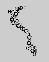 N#Cc1c(NS(=O)(=O)N2CC[C@@H](F)C2)ccc(F)c1Oc1ccc2ncn(-c3ccc(N4CCC5(CCN(CC6CCN(c7ccc8c(c7)C(=O)N(C7CCC(=O)NC7=O)C8=O)CC6)CC5)CC4)nc3)c(=O)c2c1